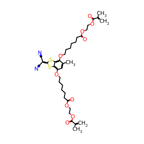 C=C(C)C(=O)OCCOC(=O)CCCCCCOc1cc(C)c(OCCCCCCC(=O)OCCOC(=O)C(=C)C)c2c1SC(=C(C#N)C#N)S2